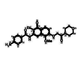 CCn1c(NC(=O)c2cnc(N)nc2)cc2c(OC)c(OCC(=O)N3CCOCC3)ccc2c1=O